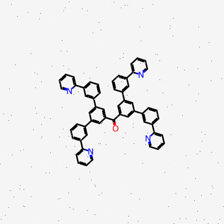 O=C(c1cc(-c2cccc(-c3ccccn3)c2)cc(-c2cccc(-c3ccccn3)c2)c1)c1cc(-c2cccc(-c3ccccn3)c2)cc(-c2cccc(-c3ccccn3)c2)c1